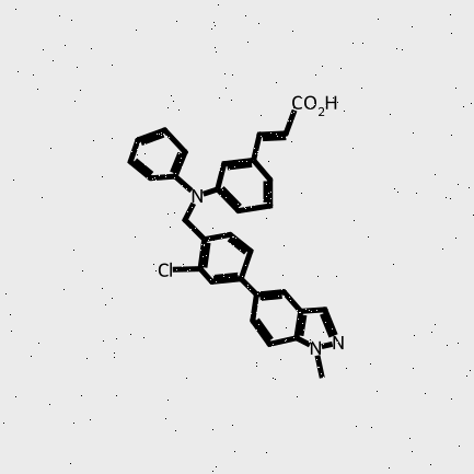 Cn1ncc2cc(-c3ccc(CN(c4ccccc4)c4cccc(/C=C/C(=O)O)c4)c(Cl)c3)ccc21